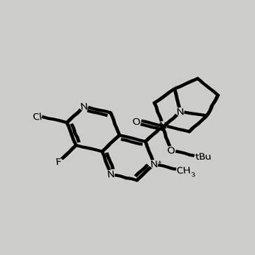 C[n+]1cnc2c(F)c(Cl)ncc2c1N1CC2CCC(C1)N2C(=O)OC(C)(C)C